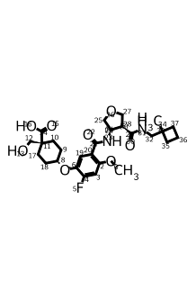 COc1cc(F)c(O[C@H]2CC[C@@](CO)(C(=O)O)CC2)cc1C(=O)N[C@H]1COC[C@H]1C(=O)NCC1(C)CCC1